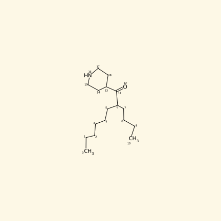 CCCCCCC(CCCC)C(=O)C1CCNCC1